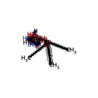 CCCCCCCCCCCCCCCCCCOc1cc(C(=O)OCC(=O)O[C@]2(O)C[C@H](n3cnc4c(=O)[nH]c(NC(=O)C(C)C)nc43)O[C@@H]2COP(=O)(OCCC#N)[C@]2(O)C[C@H](n3cc(C)c(=O)[nH]c3=O)O[C@@H]2CO)cc(OCCCCCCCCCCCCCCCCCC)c1OCCCCCCCCCCCCCCCCCC